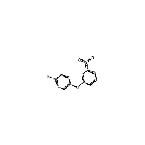 O=[SH](=O)c1cccc(Oc2ccc(F)cc2)c1